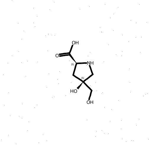 O=C(O)[C@@H]1C[C@@](O)(CO)CN1